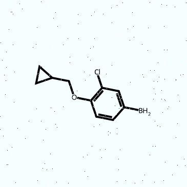 Bc1ccc(OCC2CC2)c(Cl)c1